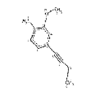 CCC#Cc1ccc(C)c(OC)c1